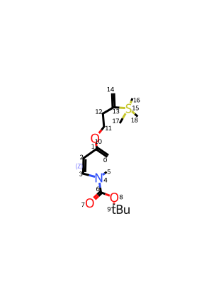 C=C(/C=C\N(C)C(=O)OC(C)(C)C)OCCC(=C)S(C)(C)C